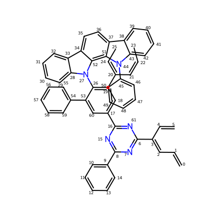 C=C/C=C(\C=C)c1nc(-c2ccccc2)nc(-c2cc(C(/C=C\C)=C/C)c(-n3c4ccccc4c4ccc5c6ccccc6n(-c6ccccc6)c5c43)c(-c3ccccc3)c2)n1